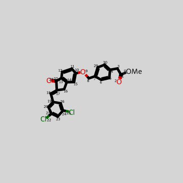 COC(=O)Cc1ccc(COc2ccc3c(c2)C/C(=C\c2cc(Cl)cc(Cl)c2)C3=O)cc1